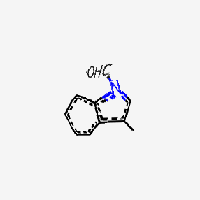 Cc1cn([C]=O)c2ccccc12